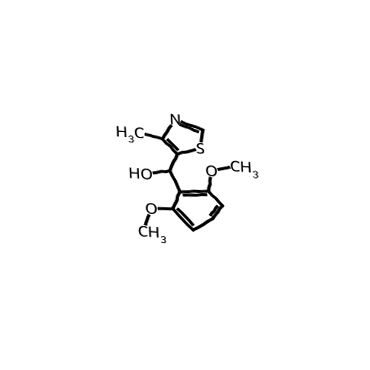 COc1cccc(OC)c1C(O)c1scnc1C